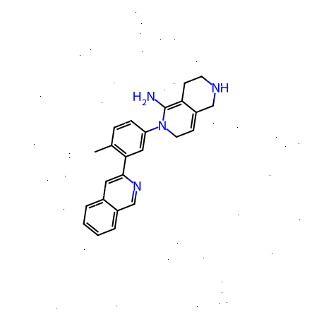 Cc1ccc(N2CC=C3CNCCC3=C2N)cc1-c1cc2ccccc2cn1